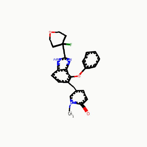 Cn1cc(-c2ccc3[nH]c(C4(F)CCOCC4)nc3c2Oc2ccccc2)ccc1=O